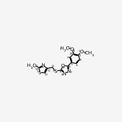 COc1ccc(-c2nnc(SCc3csc(C)n3)o2)cc1OC